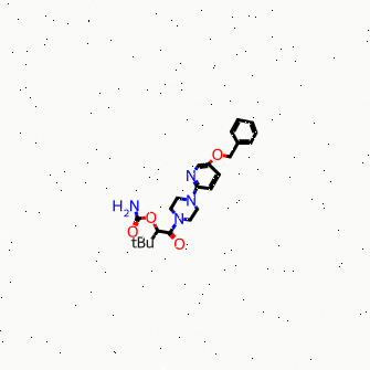 CC(C)(C)C(OC(N)=O)C(=O)N1CCN(c2ccc(OCc3ccccc3)cn2)CC1